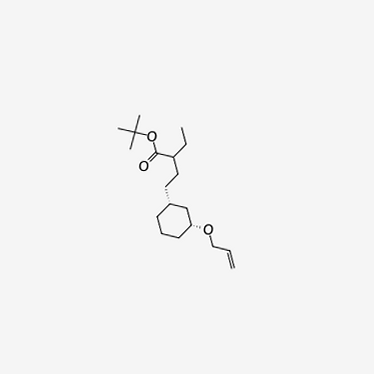 C=CCO[C@@H]1CCC[C@H](CCC(CC)C(=O)OC(C)(C)C)C1